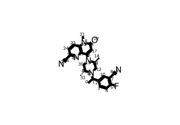 CC(c1ccc(F)c(C#N)c1)N1C[C@H](C)N(c2cc(=O)n(C)c3ccc(C#N)nc23)C[C@H]1C